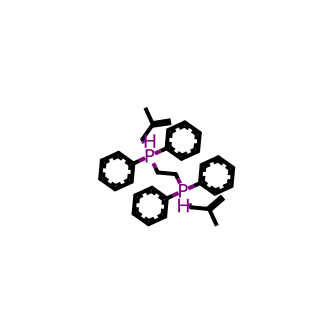 C=C(C)C[PH](CC[PH](CC(=C)C)(c1ccccc1)c1ccccc1)(c1ccccc1)c1ccccc1